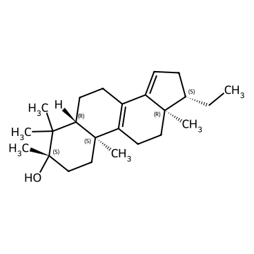 CC[C@H]1CC=C2C3=C(CC[C@@]21C)[C@@]1(C)CC[C@](C)(O)C(C)(C)[C@@H]1CC3